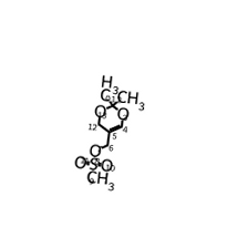 CC1(C)OC=C(COS(C)(=O)=O)CO1